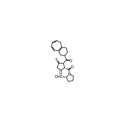 O=C[C@@H]1CCCN1C(=O)[C@H]1NCC(=S)C1C(=O)C1CCC2=C(C=CC=CC2)C1